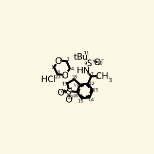 C1COCCO1.CC(N[S+]([O-])C(C)(C)C)c1cccc2c1CCS2(=O)=O.Cl